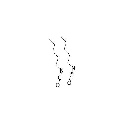 CCCCCN=C=O.CCCCCN=C=O